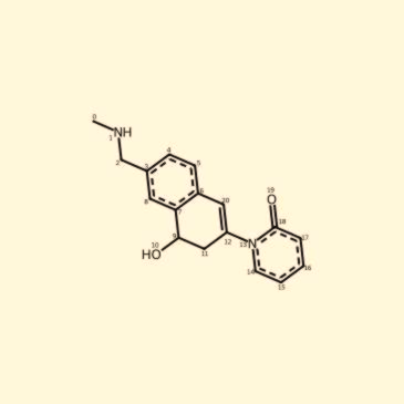 CNCc1ccc2c(c1)C(O)CC(n1ccccc1=O)=C2